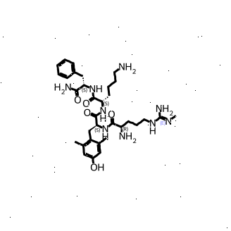 C/N=C(\N)NCCC[C@@H](N)C(=O)N[C@@H](Cc1c(C)cc(O)cc1C)C(=O)N[C@@H](CCCCN)C(=O)N[C@@H](Cc1ccccc1)C(N)=O